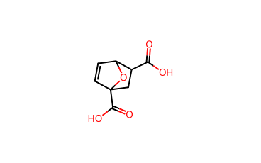 O=C(O)C1CC2(C(=O)O)C=CC1O2